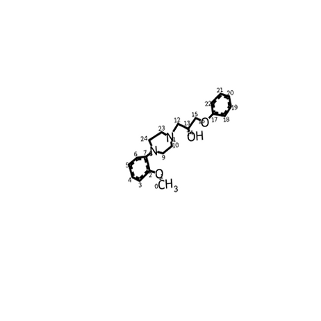 COc1ccccc1N1CCN(CC(O)COc2ccccc2)CC1